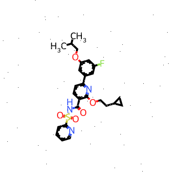 CC(C)COc1cc(F)cc(-c2ccc(C(=O)NS(=O)(=O)c3ccccn3)c(OCCC3CC3)n2)c1